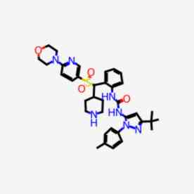 Cc1ccc(-n2nc(C(C)(C)C)cc2NC(=O)Nc2ccccc2C(C2CCNCC2)S(=O)(=O)c2ccc(N3CCOCC3)nc2)cc1